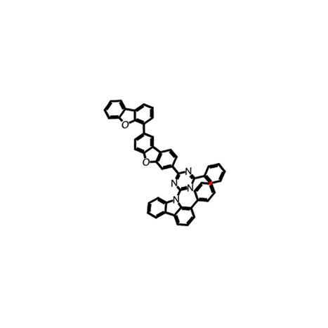 c1ccc(-c2nc(-c3ccc4c(c3)oc3ccc(-c5cccc6c5oc5ccccc56)cc34)nc(-n3c4ccccc4c4cccc(-c5ccccc5)c43)n2)cc1